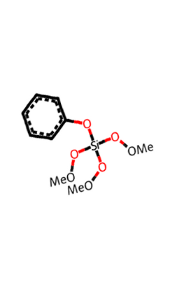 COO[Si](OOC)(OOC)Oc1ccccc1